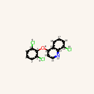 Clc1cccc(Cl)c1Oc1ccnc2c(Cl)cccc12